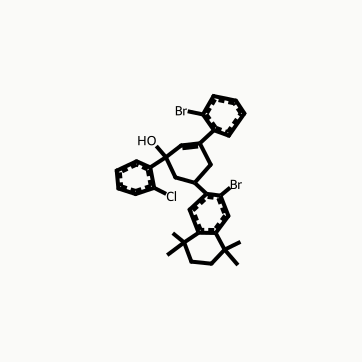 CC1(C)CCC(C)(C)c2cc(C3CC(c4ccccc4Br)=CC(O)(c4ccccc4Cl)C3)c(Br)cc21